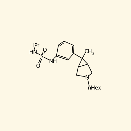 CCCCCCN1CC2C(C1)C2(C)c1cccc(NS(=O)(=O)NC(C)C)c1